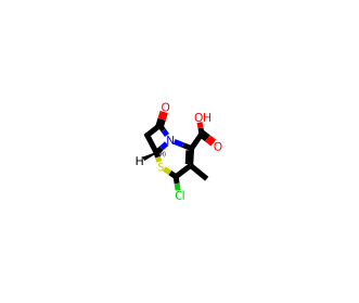 CC1=C(C(=O)O)N2C(=O)C[C@H]2SC1Cl